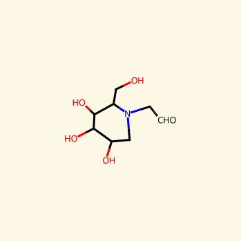 O=CCN1CC(O)C(O)C(O)C1CO